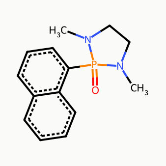 CN1CCN(C)P1(=O)c1cccc2ccccc12